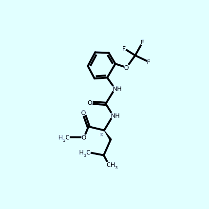 COC(=O)[C@H](CC(C)C)NC(=O)Nc1ccccc1OC(F)(F)F